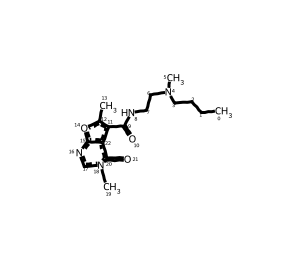 CCCCN(C)CCNC(=O)c1c(C)oc2ncn(C)c(=O)c12